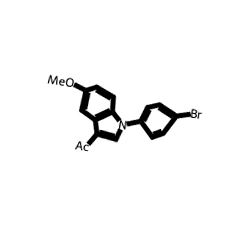 COc1ccc2c(c1)c(C(C)=O)cn2-c1ccc(Br)cc1